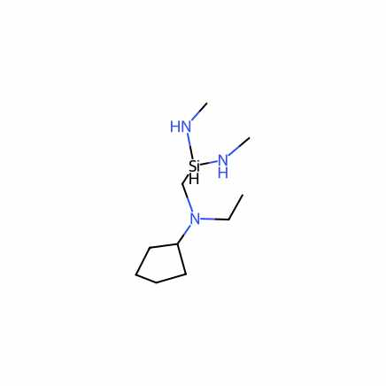 CCN(C[SiH](NC)NC)C1CCCC1